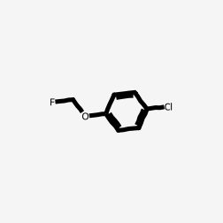 FCOc1c[c]c(Cl)cc1